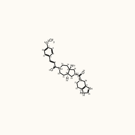 O=C(/C=C/c1ccc(OC(F)(F)F)cc1)N1CC[C@@H]2CN(C(=O)N3CCc4[nH]cnc4C3)C[C@H]2CC1